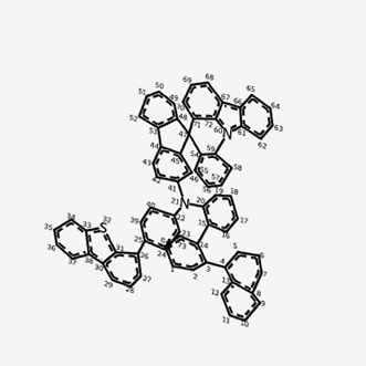 c1ccc(-c2cccc3ccccc23)c(-c2ccccc2N(c2ccc(-c3cccc4c3sc3ccccc34)cc2)c2ccc3c(c2)C2(c4ccccc4-3)c3ccccc3-n3c4ccccc4c4cccc2c43)c1